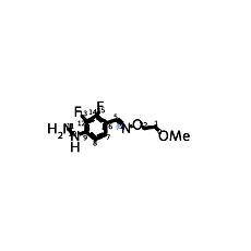 COCCO/N=C/c1ccc(NN)c(F)c1F